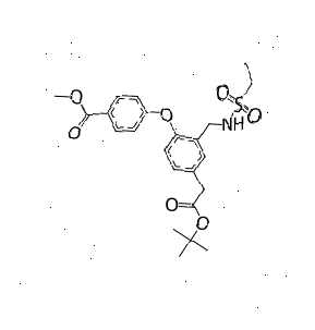 CCS(=O)(=O)NCc1cc(CC(=O)OC(C)(C)C)ccc1Oc1ccc(C(=O)OC)cc1